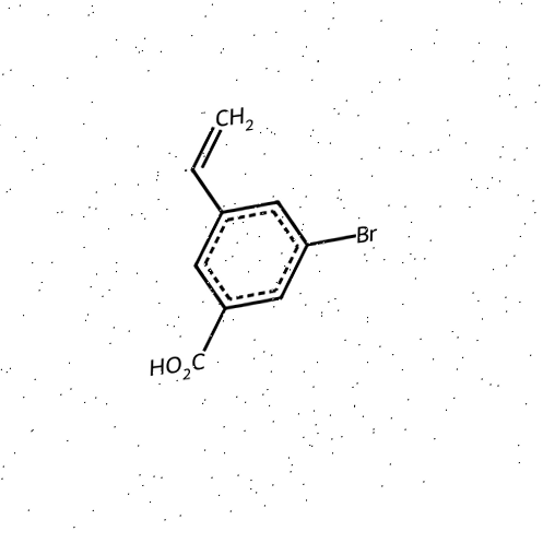 C=[C]c1cc(Br)cc(C(=O)O)c1